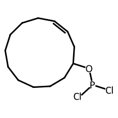 ClP(Cl)OC1C/C=C\CCCCCCCCC1